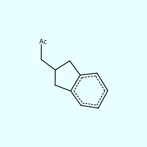 CC(=O)CC1Cc2ccccc2C1